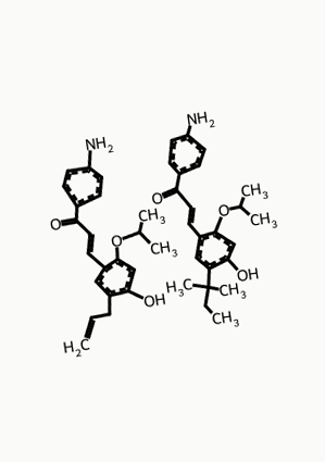 C=CCc1cc(C=CC(=O)c2ccc(N)cc2)c(OC(C)C)cc1O.CCC(C)(C)c1cc(C=CC(=O)c2ccc(N)cc2)c(OC(C)C)cc1O